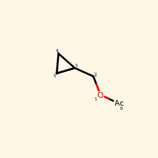 CC(=O)O[CH]C1CC1